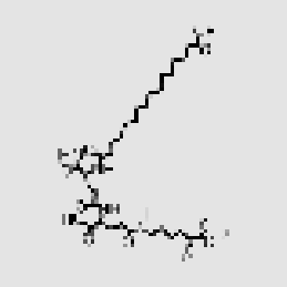 CC(=O)[C@@H](C)CCCCNC(=O)CC[C@H](NC(=O)CC[C@H](NC(=O)CCCCCCCCCCCCCCC(=O)O)C(=O)O)C(=O)O